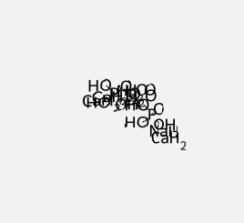 O.O.O.O.O=P(O)(O)O.O=P(O)(O)O.[CaH2].[CaH2].[CaH2].[NaH]